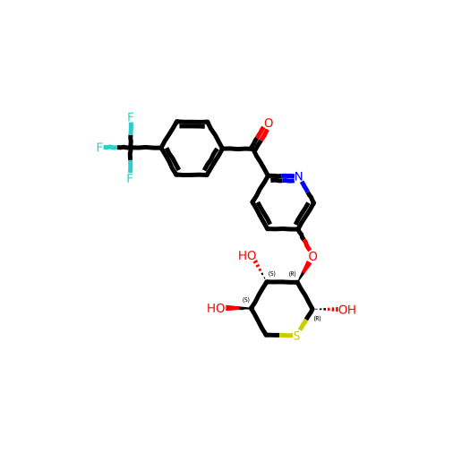 O=C(c1ccc(C(F)(F)F)cc1)c1ccc(O[C@@H]2[C@@H](O)[C@H](O)CS[C@H]2O)cn1